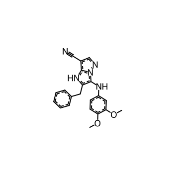 COc1ccc(Nc2c(Cc3ccccc3)[nH]c3c(C#N)cnn23)cc1OC